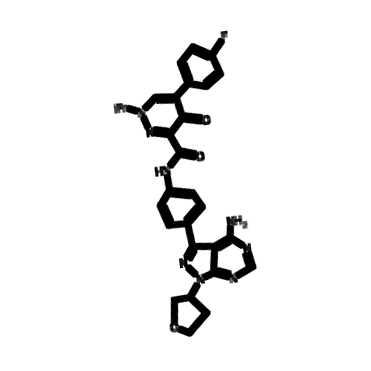 CC(C)n1cc(-c2ccc(F)cc2)c(=O)c(C(=O)Nc2ccc(-c3nn(C4CCOC4)c4ncnc(N)c34)cc2)n1